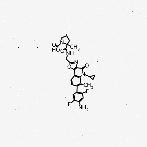 Cc1c(-c2cc(F)c(N)cc2F)ccc2c3oc(CNC(=O)C4(C)CCCN4C(=O)O)nc3c(=O)n(C3CC3)c12